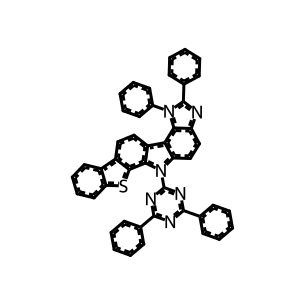 c1ccc(-c2nc(-c3ccccc3)nc(-n3c4ccc5nc(-c6ccccc6)n(-c6ccccc6)c5c4c4ccc5c6ccccc6sc5c43)n2)cc1